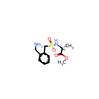 COC(=O)[C@@H](C)NS(=O)(=O)Cc1ccccc1CN